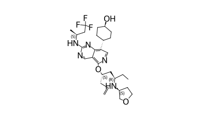 C=CC[C@@H](C[C@@H](CC)N[C@H]1CCOC1)Oc1ncc([C@H]2CC[C@H](O)CC2)c2nc(N[C@@H](C)CC(F)(F)F)ncc12